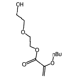 C=C(OCCCC)C(=O)OCCOCCO